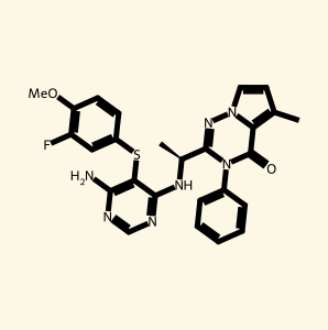 COc1ccc(Sc2c(N)ncnc2N[C@@H](C)c2nn3ccc(C)c3c(=O)n2-c2ccccc2)cc1F